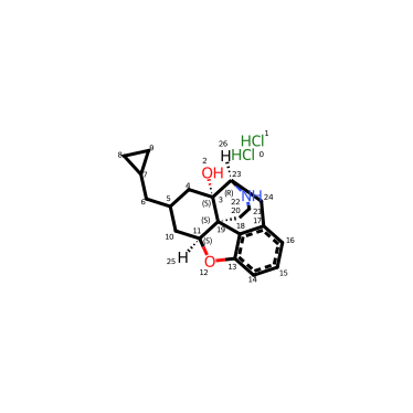 Cl.Cl.O[C@@]12CC(CC3CC3)C[C@@H]3Oc4cccc5c4[C@@]31CCN[C@@H]2C5